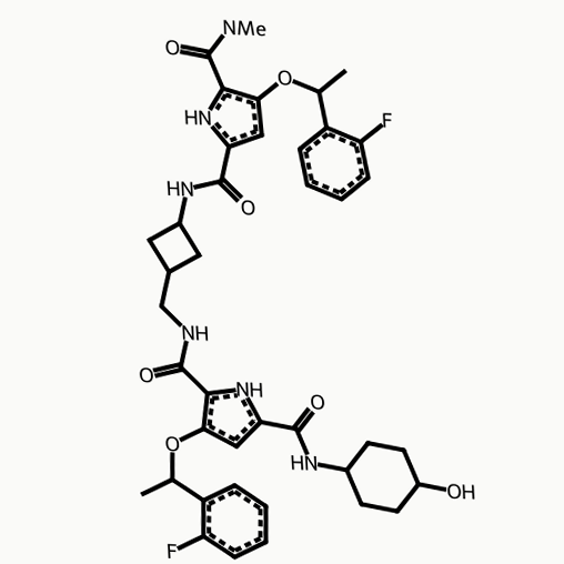 CNC(=O)c1[nH]c(C(=O)NC2CC(CNC(=O)c3[nH]c(C(=O)NC4CCC(O)CC4)cc3OC(C)c3ccccc3F)C2)cc1OC(C)c1ccccc1F